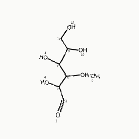 Cl.O=CC(O)C(O)C(O)C(O)CO